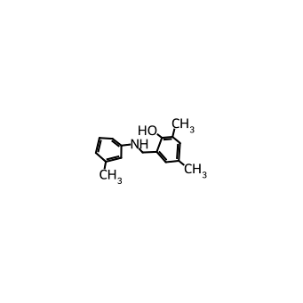 Cc1cccc(NCc2cc(C)cc(C)c2O)c1